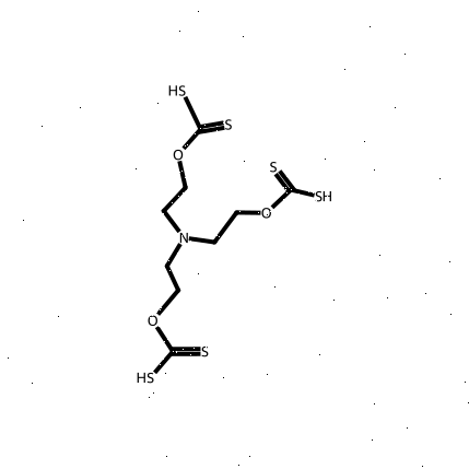 S=C(S)OCCN(CCOC(=S)S)CCOC(=S)S